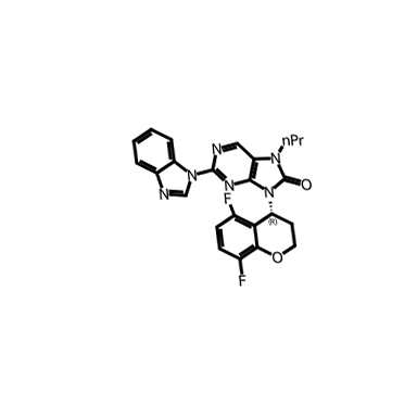 CCCn1c(=O)n([C@@H]2CCOc3c(F)ccc(F)c32)c2nc(-n3cnc4ccccc43)ncc21